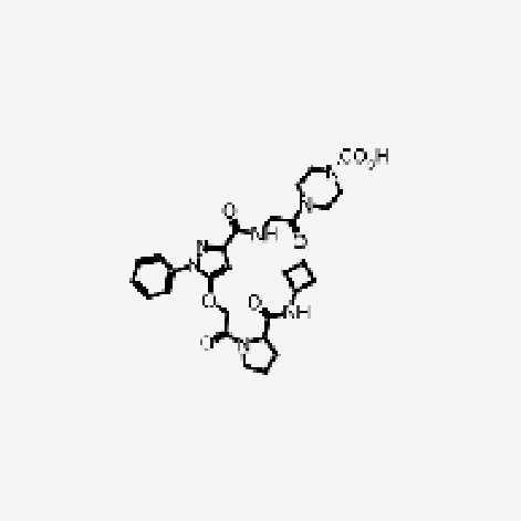 O=C(NCC(=O)N1CCN(C(=O)O)CC1)c1cc(OCC(=O)N2CCCC2C(=O)NC2CCC2)n(-c2ccccc2)n1